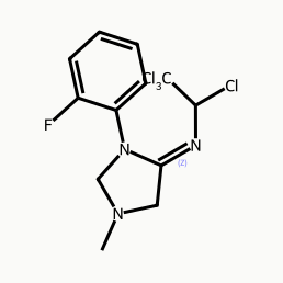 CN1C/C(=N/C(Cl)C(Cl)(Cl)Cl)N(c2ccccc2F)C1